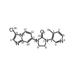 Cc1ccncc1N1CCN(c2ccn3c(Cl)cnc3c2)C1=O